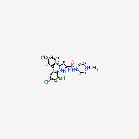 CN1CCN(NC(=O)C2=NN(c3ccc(Cl)cc3Cl)C(c3ccc(Cl)cc3)C2)CC1